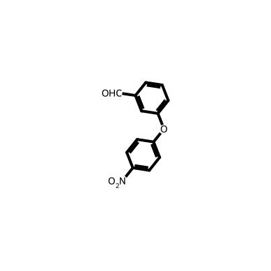 O=Cc1cccc(Oc2ccc([N+](=O)[O-])cc2)c1